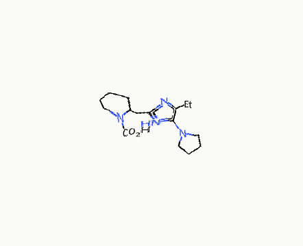 CCc1nc(C2CCCCN2C(=O)O)[nH]c1N1CCCC1